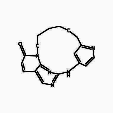 O=c1ccc2cnc3nc2n1CCCCCCc1cc(ccn1)N3